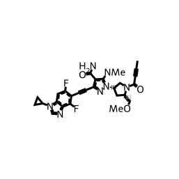 CC#CC(=O)N1C[C@@H](n2nc(C#Cc3c(F)cc4c(ncn4C4CC4)c3F)c(C(N)=O)c2NC)C/C1=C\OC